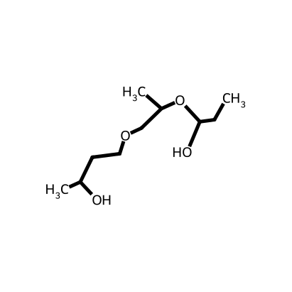 CCC(O)OC(C)COCCC(C)O